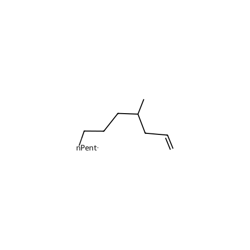 C=CCC(C)CCC[CH]CCCC